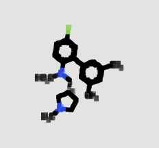 Cc1cc(C)cc(-c2cc(F)ccc2N(C[C@@H]2CCN(C)C2)C(=O)O)c1